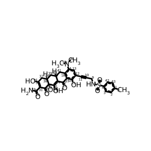 Cc1ccc(S(=O)(=O)NCC#Cc2cc(N(C)C)c3c(c2O)C(=O)C2=C(O)[C@]4(O)C(=O)C(C(N)=O)=C(O)C[C@@H]4C[C@@H]2C3)cc1